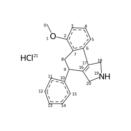 COc1cccc2c1CC(c1ccccc1)C1=C2CNC1.Cl